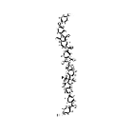 Cc1ccc(Oc2ccc(N3C(=O)c4ccc(C(=O)c5ccc6c(c5)C(=O)N(c5nc7cc(C(c8ccc9oc(-c%10ccc(C(=O)c%11ccc(C)cc%11)cc%10)nc9c8)(C(F)(F)F)C(F)(F)F)ccc7o5)C6=O)cc4C3=O)cc2)cc1